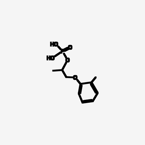 Cc1ccccc1OCC(C)OP(=O)(O)O